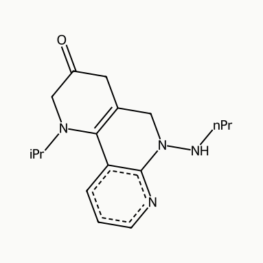 CCCNN1CC2=C(c3cccnc31)N(C(C)C)CC(=O)C2